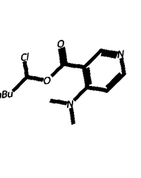 CCCCC(Cl)OC(=O)c1cnccc1N(C)C